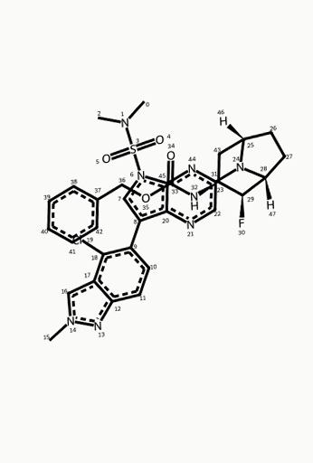 CN(C)S(=O)(=O)n1cc(-c2ccc3nn(C)cc3c2Cl)c2ncc(N3[C@H]4CC[C@@H]3[C@@H](F)[C@@H](NC(=O)OCc3ccccc3)C4)nc21